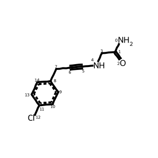 NC(=O)CNC#CCc1ccc(Cl)cc1